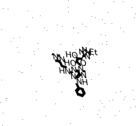 CCn1nnc([C@H]2O[C@@H](n3cnc4c(NCc5ccccc5)nc(NCCc5cn(C)cn5)nc43)[C@H](O)[C@@H]2O)n1